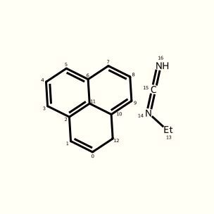 C1=Cc2cccc3cccc(c23)C1.CCN=C=N